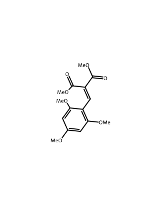 COC(=O)C(=Cc1c(OC)cc(OC)cc1OC)C(=O)OC